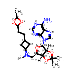 CC1OC(CCC2CC(N(C[C@H]3O[C@@H](n4cnc5c(N)ncnc54)[C@@H]4OC(C)(C)O[C@@H]43)C(C)C)C2)O1